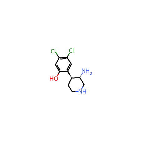 N[C@@H]1CNCC[C@H]1c1cc(Cl)c(Cl)cc1O